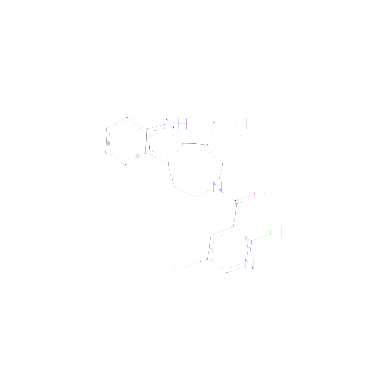 CCOC(=O)C1=CN(C(=O)c2cc(Cl)cnc2Cl)CCc2c1[nH]c1ccccc21